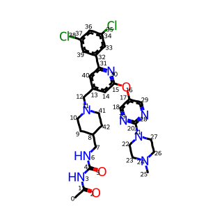 CC(=O)NC(=O)NCC1CCN(Cc2cc(Oc3cnc(N4CCN(C)CC4)nc3)nc(-c3cc(Cl)cc(Cl)c3)c2)CC1